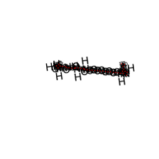 Cn1cnc2c(NCc3ccccc3)nc(NCCOCCOCCOCCOCCOCCOCCOCCOCCNC(=O)CCCCCNC(=O)CCCCCNC(=O)CCCC[C@@H]3SC[C@@H]4NC(=O)N[C@@H]43)nc21